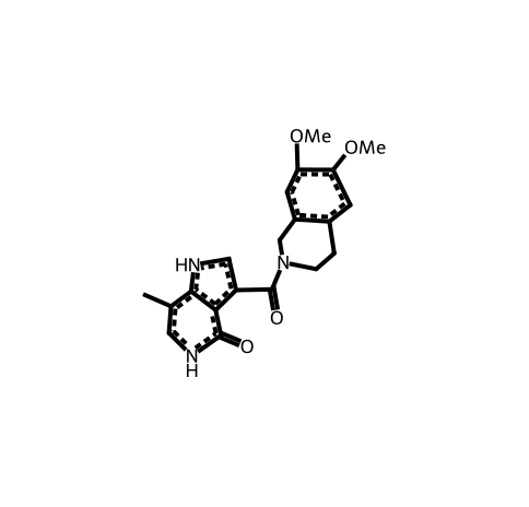 COc1cc2c(cc1OC)CN(C(=O)c1c[nH]c3c(C)c[nH]c(=O)c13)CC2